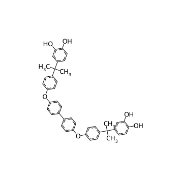 CC(C)(c1ccc(Oc2ccc(-c3ccc(Oc4ccc(C(C)(C)c5ccc(O)c(O)c5)cc4)cc3)cc2)cc1)c1ccc(O)c(O)c1